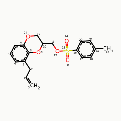 C=CCc1cccc2c1OC(COS(=O)(=O)c1ccc(C)cc1)CO2